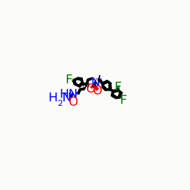 C[C@@H](c1ccc(-c2ccc(F)cc2F)cc1)N1CC[C@@](CCCNC(N)=O)(c2ccc(F)cc2)OC1=O